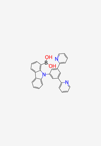 OB(O)c1cccc2c3ccccc3n(-c3cc(-c4ccccn4)cc(-c4ccccn4)c3)c12